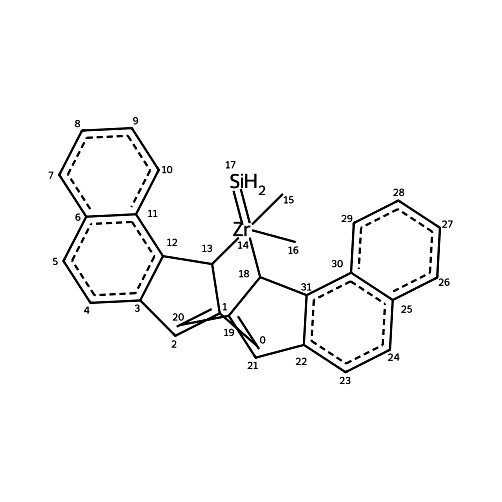 CC1=Cc2ccc3ccccc3c2[CH]1[Zr]([CH3])([CH3])(=[SiH2])[CH]1C(C)=Cc2ccc3ccccc3c21